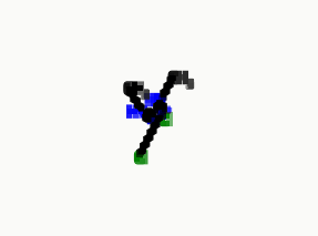 CCCCCCCNc1cc[n+](C(Cl)C(CCCCCCCCCCCl)[n+]2ccc(NCCCCCCC)cc2)cc1